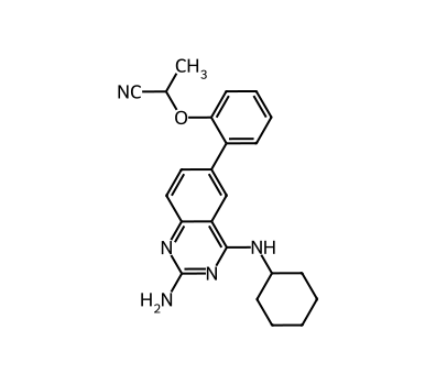 CC(C#N)Oc1ccccc1-c1ccc2nc(N)nc(NC3CCCCC3)c2c1